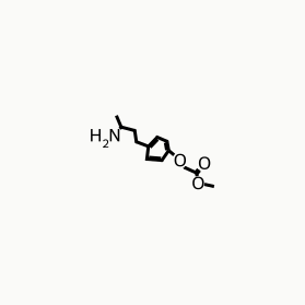 COC(=O)COc1ccc(CCC(C)N)cc1